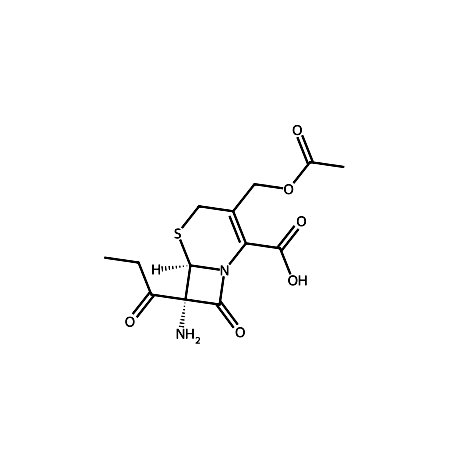 CCC(=O)[C@]1(N)C(=O)N2C(C(=O)O)=C(COC(C)=O)CS[C@@H]21